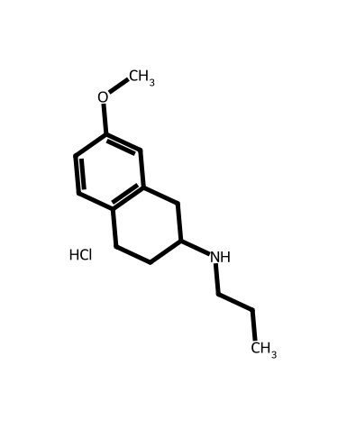 CCCNC1CCc2ccc(OC)cc2C1.Cl